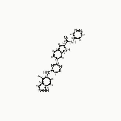 Cc1c(Nc2ccnc(-c3ccc4cc(C(=O)Nc5ccnnc5)[nH]c4c3)n2)ccc2[nH]ncc12